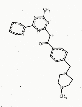 Cc1nc(NC(=O)c2ccc(CN3CCN(C)CC3)cc2)nc(-c2ccccn2)n1